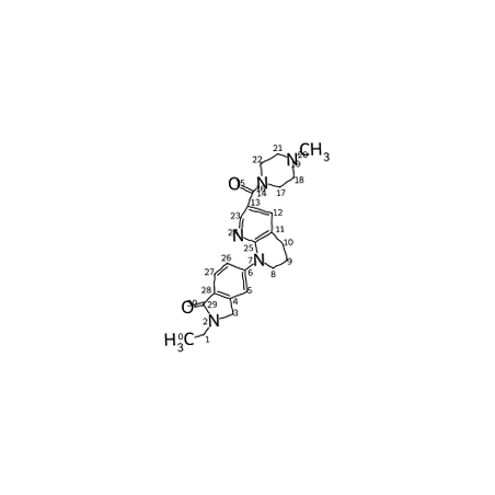 CCN1Cc2cc(N3CCCc4cc(C(=O)N5CCN(C)CC5)cnc43)ccc2C1=O